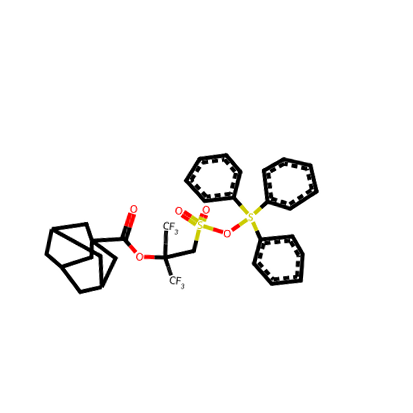 O=C(OC(CS(=O)(=O)OS(c1ccccc1)(c1ccccc1)c1ccccc1)(C(F)(F)F)C(F)(F)F)C12CC3CC(CC(C3)C1)C2